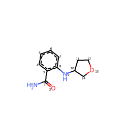 NC(=O)c1ccccc1NC1CCOC1